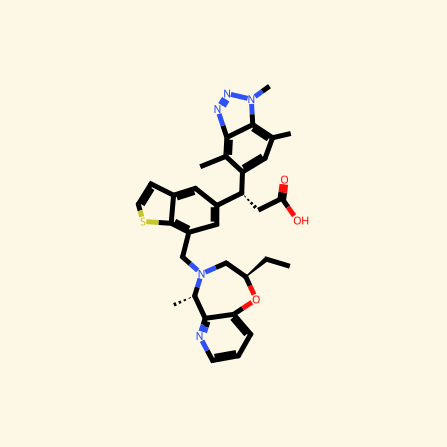 CC[C@@H]1CN(Cc2cc([C@@H](CC(=O)O)c3cc(C)c4c(nnn4C)c3C)cc3ccsc23)[C@@H](C)c2ncccc2O1